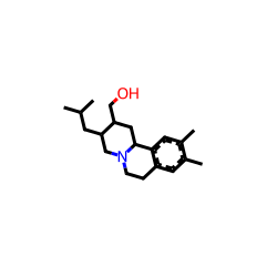 Cc1cc2c(cc1C)C1CC(CO)C(CC(C)C)CN1CC2